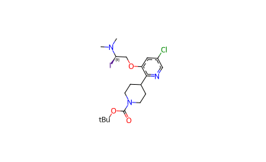 CN(C)[C@H](I)COc1cc(Cl)cnc1C1CCN(C(=O)OC(C)(C)C)CC1